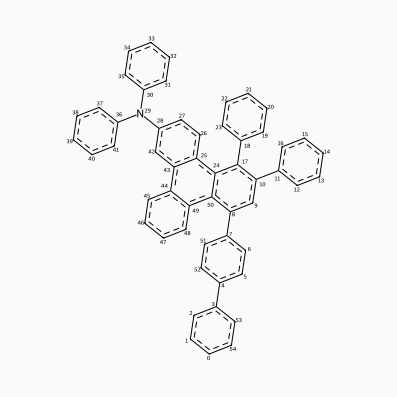 c1ccc(-c2ccc(-c3cc(-c4ccccc4)c(-c4ccccc4)c4c5ccc(N(c6ccccc6)c6ccccc6)cc5c5ccccc5c34)cc2)cc1